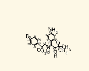 CC1(C)Oc2cc(N)ccc2[C@H](N(CCc2ccc(F)cc2)C(=O)O)[C@H]1O